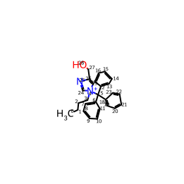 CCCC[N+]1(C(c2ccccc2)(c2ccccc2)c2ccccc2)C=NC(CO)=C1